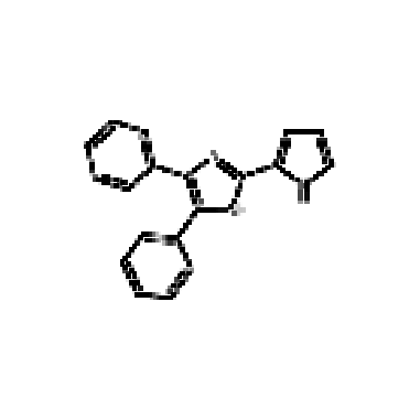 c1ccc(-c2nc(-c3ccc[nH]3)[nH]c2-c2ccccc2)cc1